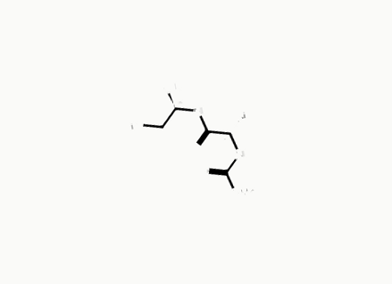 COC(=O)N[C@H](C(=O)N[C@H](C)CC(C)C)C(C)C